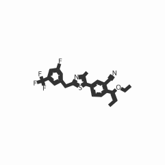 C/C=C(/OCC)c1ccc(-c2sc(Cc3cc(F)cc(C(F)(F)F)c3)nc2C)cc1C#N